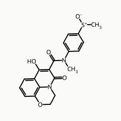 CN(C(=O)c1c(O)c2cccc3c2n(c1=O)CCO3)c1ccc([S+](C)[O-])cc1